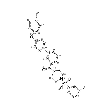 Cc1cccc(S(=O)(=O)N2CCN(C(=O)c3cccc(-c4ccc(Oc5ccc(F)cc5)cc4)n3)CC2)c1